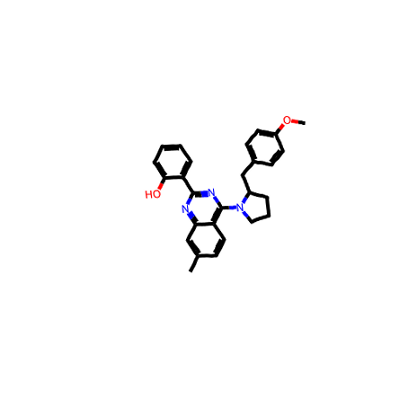 COc1ccc(CC2CCCN2c2nc(-c3ccccc3O)nc3cc(C)ccc23)cc1